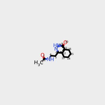 CC(=O)NCCc1n[nH]c(=O)c2c1CCCC2